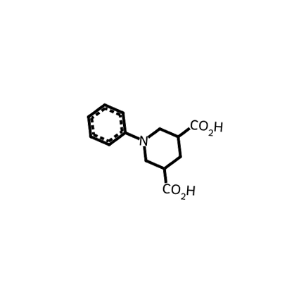 O=C(O)C1CC(C(=O)O)CN(c2ccccc2)C1